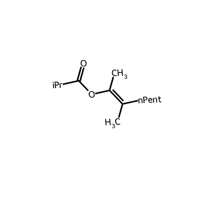 CCCCC/C(C)=C(\C)OC(=O)C(C)C